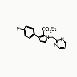 CCOC(=O)c1c(-c2ccc(F)cc2)ccn1Cc1ncccn1